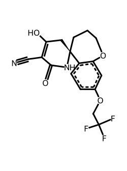 N#CC1=C(O)C[C@]2(CCCOc3cc(OCC(F)(F)F)ccc32)NC1=O